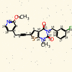 COc1cc(CC#Cc2cc3c(=O)n(Cc4cccc(F)c4)c(=O)n(C)c3s2)ccn1